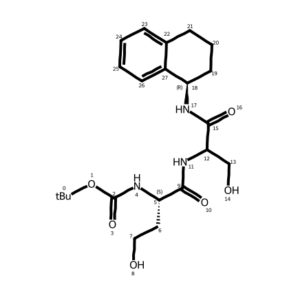 CC(C)(C)OC(=O)N[C@@H](CCO)C(=O)NC(CO)C(=O)N[C@@H]1CCCc2ccccc21